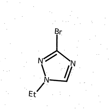 CCn1cnc(Br)n1